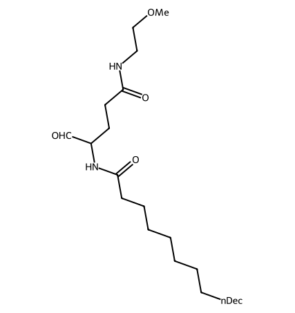 CCCCCCCCCCCCCCCCCC(=O)NC(C=O)CCC(=O)NCCOC